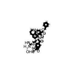 N=C(N)NCCC[C@H](NC(=O)[C@]12C(=O)C1(C(=O)OCc1ccccc1)CCN2C12CCCCC1CCCNC2)C(=O)c1cc2c(CO[C]=O)c(c1)C(=O)N2